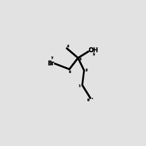 [CH2]CCC(C)(O)CBr